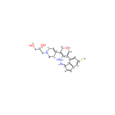 OCC(O)CN1CC=C(C2=C3NN=C4C=Cc5cc(F)cc(c54)C3=COC2)CC1